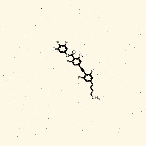 CCCCCc1cc(F)c(C#Cc2cc(F)c(C(=O)Oc3cc(F)c(F)c(F)c3)c(F)c2)c(F)c1